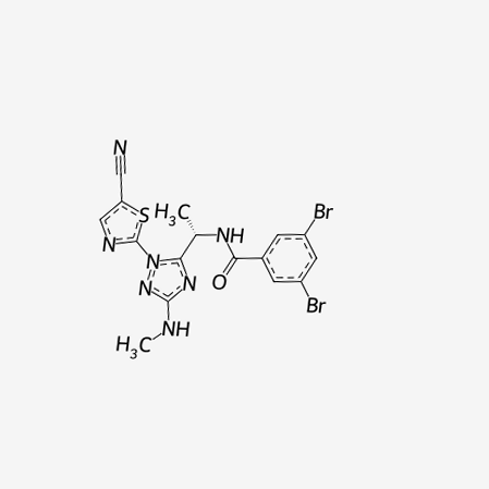 CNc1nc([C@H](C)NC(=O)c2cc(Br)cc(Br)c2)n(-c2ncc(C#N)s2)n1